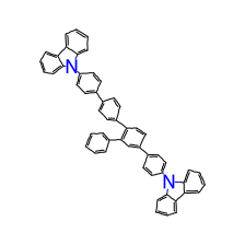 c1ccc(-c2cc(-c3ccc(-n4c5ccccc5c5ccccc54)cc3)ccc2-c2ccc(-c3ccc(-n4c5ccccc5c5ccccc54)cc3)cc2)cc1